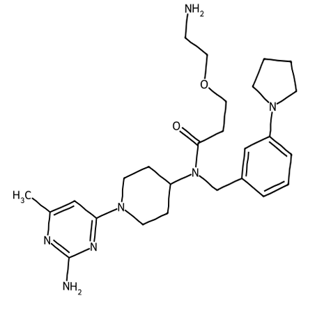 Cc1cc(N2CCC(N(Cc3cccc(N4CCCC4)c3)C(=O)CCOCCN)CC2)nc(N)n1